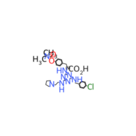 CN(C)C(=O)Oc1ccc(C[C@H](Nc2nc(NCCN3CCCC3)nc(NCc3ccc(Cl)cc3)n2)C(=O)O)cc1